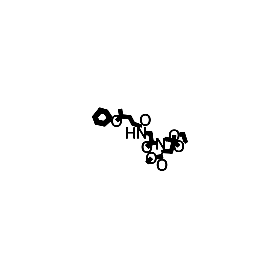 COC(=O)[C@@H]1CC2(CN1C(=O)CNC(=O)CCC(C)Oc1ccccc1)OCCO2